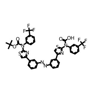 CC(C)(C)OC(=O)N(c1cccc(C(F)(F)F)c1)c1nc(-c2cccc(/N=N/c3cccc(-c4csc(N(C(=O)O)c5cccc(C(F)(F)F)c5)n4)c3)c2)cs1